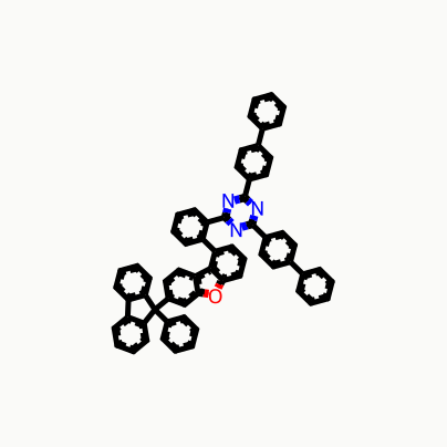 c1ccc(-c2ccc(-c3nc(-c4ccc(-c5ccccc5)cc4)nc(-c4ccccc4-c4cccc5oc6cc(C7(c8ccccc8)c8ccccc8-c8ccccc87)ccc6c45)n3)cc2)cc1